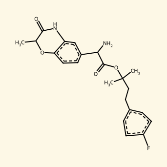 CC1Oc2ccc(C(N)C(=O)OC(C)(C)CCc3ccc(F)cc3)cc2NC1=O